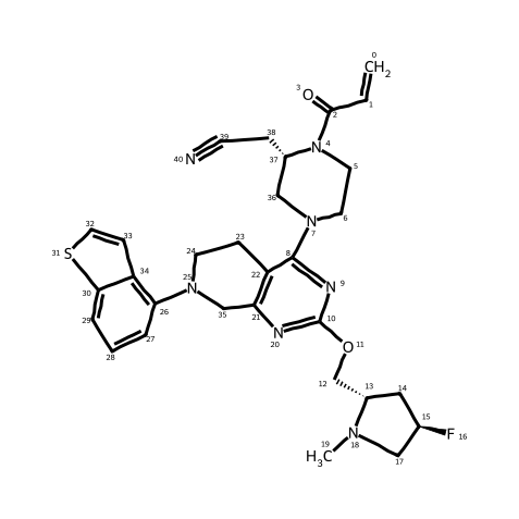 C=CC(=O)N1CCN(c2nc(OC[C@@H]3C[C@@H](F)CN3C)nc3c2CCN(c2cccc4sccc24)C3)C[C@@H]1CC#N